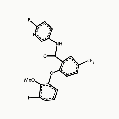 COc1c(F)cccc1Oc1ccc(C(F)(F)F)cc1C(=O)Nc1ccc(F)nc1